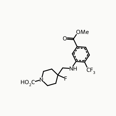 COC(=O)c1ccc(C(F)(F)F)c(NCC2(F)CCN(C(=O)O)CC2)c1